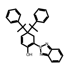 CC(C)(c1ccccc1)C1(C(C)(C)c2ccccc2)C=CC(O)=C(n2nc3ccccc3n2)C1